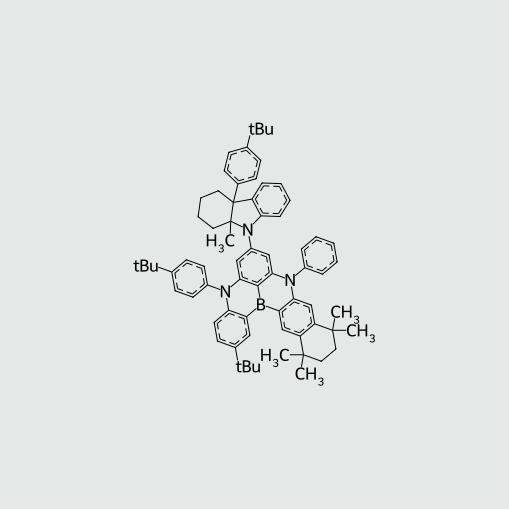 CC(C)(C)c1ccc(N2c3ccc(C(C)(C)C)cc3B3c4cc5c(cc4N(c4ccccc4)c4cc(N6c7ccccc7C7(c8ccc(C(C)(C)C)cc8)CCCCC67C)cc2c43)C(C)(C)CCC5(C)C)cc1